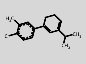 Cc1cc(C2=CC(C(C)C)=CC[CH]2)ccc1Cl